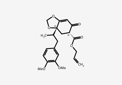 C=CCOC(=O)[C@@H]1C[C@]2(C(C)Cc3ccc(OC)c(OC)c3)OCOC2=CC1=O